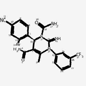 CC1=C(C(N)=O)[C@@H](c2ccc(C#N)cc2Br)N(C(N)=O)C(=N)N1c1cccc(C(F)(F)F)c1